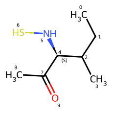 CCC(C)[C@H](NS)C(C)=O